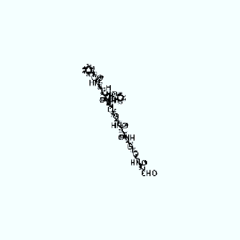 O=CCCC(=O)NCCOCCOCCNC(=O)CCC(=O)NCCOCCOCCNC(=O)C(CCCCNC(=O)OCc1ccccc1)NC(=O)OCc1ccccc1